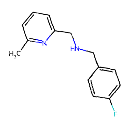 Cc1cccc(CNCc2ccc(F)cc2)n1